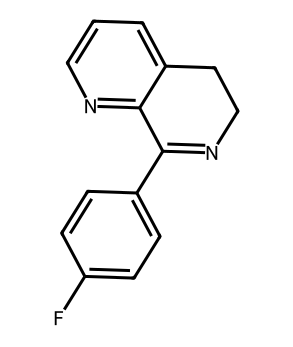 Fc1ccc(C2=NCCc3cccnc32)cc1